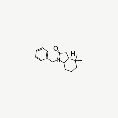 CC1(C)CCCC2[C@H]1CC(=O)N2Cc1ccccc1